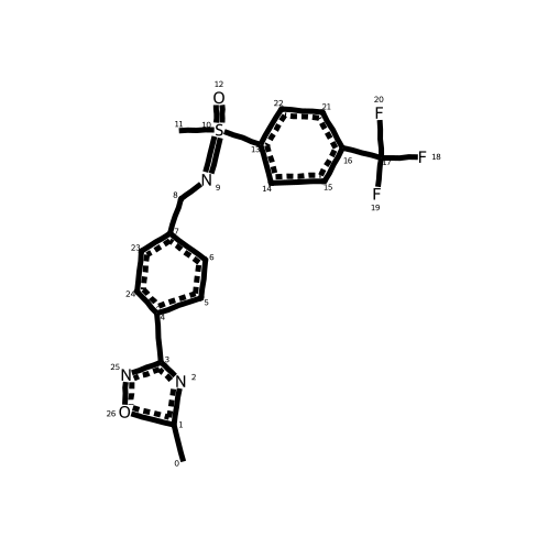 Cc1nc(-c2ccc(CN=S(C)(=O)c3ccc(C(F)(F)F)cc3)cc2)no1